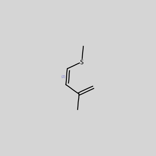 C=C(C)/C=C\SC